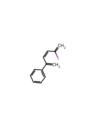 C=C(I)/C=C\C(=C)c1ccccc1